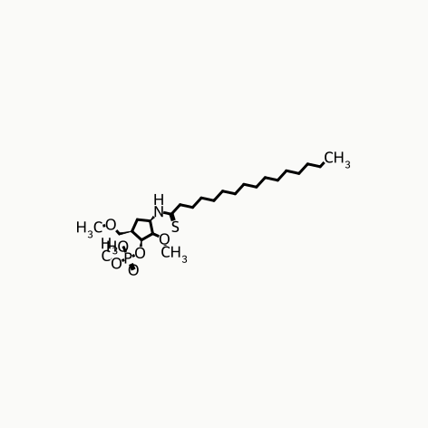 CCCCCCCCCCCCCCCC(=S)N[C@@H]1C[C@H](COC)[C@H](OP(=O)(O)OC)C1OC